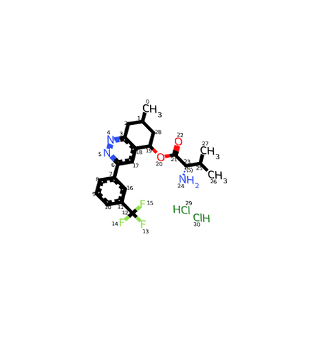 CC1Cc2nnc(-c3cccc(C(F)(F)F)c3)cc2C(OC(=O)[C@@H](N)C(C)C)C1.Cl.Cl